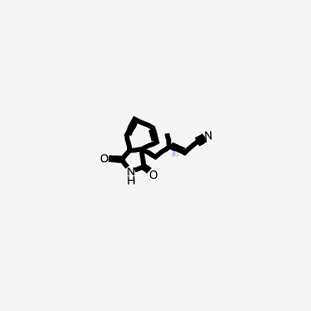 C/C(=C\C#N)CC12C=CC=CC1C(=O)NC2=O